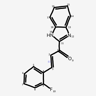 O=C(/C=C/c1ccccc1F)c1nc2ccccc2[nH]1